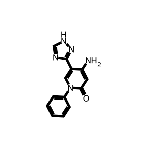 Nc1cc(=O)n(-c2ccccc2)cc1-c1nc[nH]n1